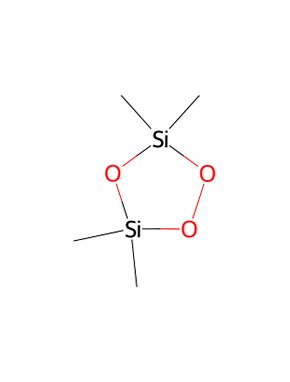 C[Si]1(C)OO[Si](C)(C)O1